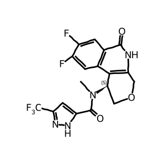 CN(C(=O)c1cc(C(F)(F)F)n[nH]1)[C@@H]1COCc2[nH]c(=O)c3cc(F)c(F)cc3c21